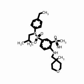 CCc1ccc(N(CC(C)C)S(=O)(=O)c2ccc(NCC3(C)CCOCC3)c(S(C)(=N)=O)c2)cc1